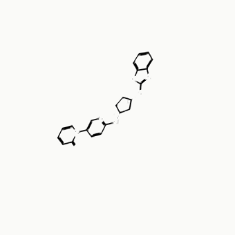 O=c1ccccn1-c1ccc(N[C@H]2CC[C@H](Nc3nc4ccccc4[nH]3)C2)nc1